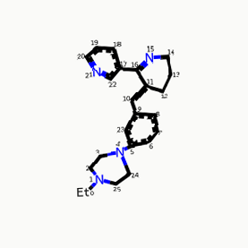 CCN1CCN(c2cccc(/C=C3\CCCN=C3c3cccnc3)c2)CC1